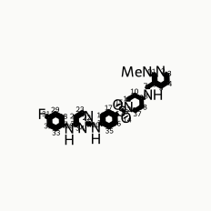 CNc1ncccc1CNC1CCN(S(=O)(=O)c2ccc(Nc3nccc(Nc4ccc(F)cc4)n3)cc2)CC1